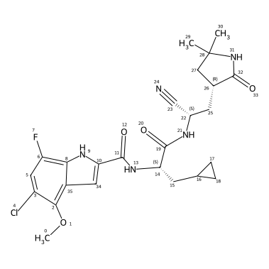 COc1c(Cl)cc(F)c2[nH]c(C(=O)N[C@@H](CC3CC3)C(=O)N[C@H](C#N)C[C@@H]3CC(C)(C)NC3=O)cc12